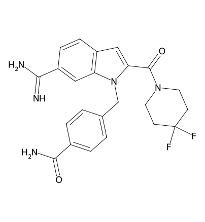 N=C(N)c1ccc2cc(C(=O)N3CCC(F)(F)CC3)n(Cc3ccc(C(N)=O)cc3)c2c1